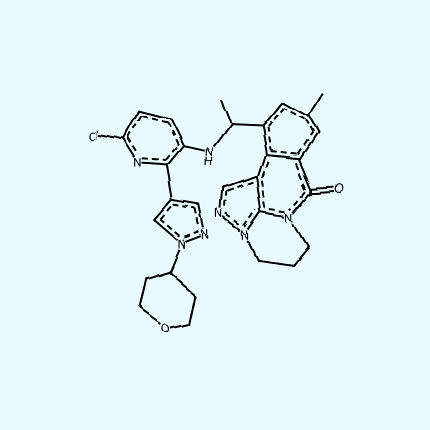 Cc1cc(C(C)Nc2ccc(Cl)nc2-c2cnn(C3CCOCC3)c2)c2c(c1)c(=O)n1c3c2cnn3CCC1